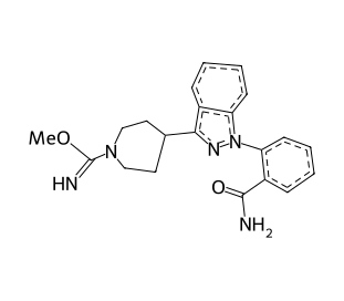 COC(=N)N1CCC(c2nn(-c3ccccc3C(N)=O)c3ccccc23)CC1